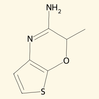 CC1Oc2sccc2N=C1N